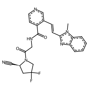 Cn1c(/C=C/c2cnccc2C(=O)NCC(=O)N2CC(F)(F)C[C@H]2C#N)nc2ccccc21